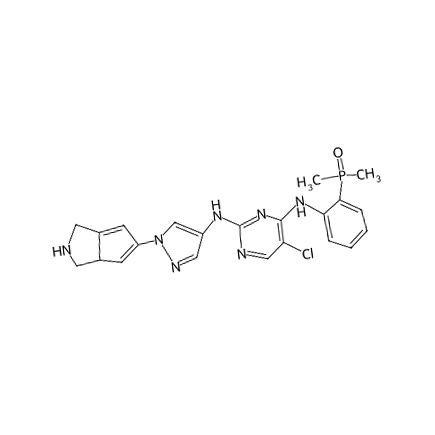 CP(C)(=O)c1ccccc1Nc1nc(Nc2cnn(C3=CC4CNCC4=C3)c2)ncc1Cl